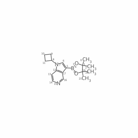 CC1(C)OB(c2cn(C3CCC3)c3ccncc23)OC1(C)C